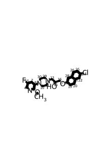 COc1ncc(F)cc1N1CCN(CC(O)COc2ccc3cc(Cl)ccc3c2)CC1